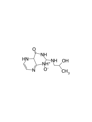 CC(O)CNC1NC(=O)C2NC=CN=C2[NH+]1[O-]